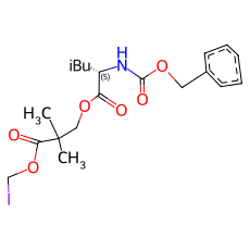 CCC(C)[C@H](NC(=O)OCc1ccccc1)C(=O)OCC(C)(C)C(=O)OCI